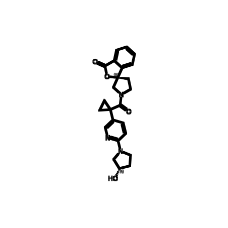 O=C1O[C@]2(CCN(C(=O)C3(c4ccc(N5CC[C@H](O)C5)nc4)CC3)C2)c2ccccc21